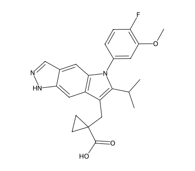 COc1cc(-n2c(C(C)C)c(CC3(C(=O)O)CC3)c3cc4[nH]ncc4cc32)ccc1F